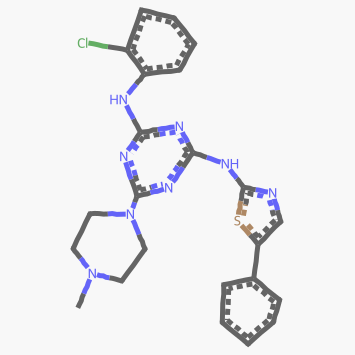 CN1CCN(c2nc(Nc3ncc(-c4ccccc4)s3)nc(Nc3ccccc3Cl)n2)CC1